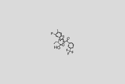 CCC(C(=O)O)n1c(=NC(=O)c2cccc(C(F)(F)F)c2)sc2cc(C)c(F)cc21